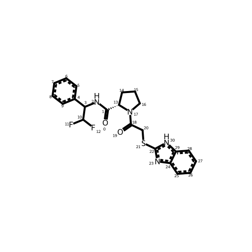 O=C(NC(c1ccccc1)C(F)F)[C@@H]1CCCN1C(=O)CSc1nc2ccccc2[nH]1